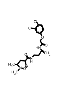 C=C(CCNC(=O)C1CC(C)N(C)OO1)NC(=O)COc1ccc(Cl)c(Cl)c1